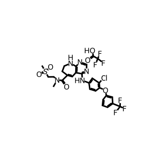 CN(CCS(C)(=O)=O)C(=O)C1=Cc2c(ncnc2Nc2ccc(Oc3cccc(C(F)(F)F)c3)c(Cl)c2)NCC1.O=C(O)C(F)(F)F